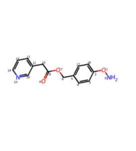 NOc1ccc(COC(=O)Cc2cccnc2)cc1